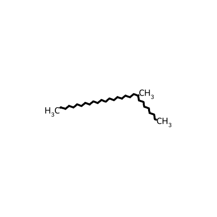 CCCCCCCCCCCCCCCCCCCCC(C)CCCCCCCC